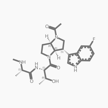 CN[C@@H](C)C(=O)N[C@H](C(=O)N1CC[C@@H]2[C@H]1[C@@H](c1c[nH]c3ccc(F)cc13)CN2C(C)=O)[C@@H](C)O